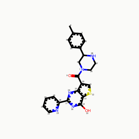 Cc1ccc(C2CN(C(=O)c3csc4c(O)nc(-c5ccccn5)nc34)CCN2)cc1